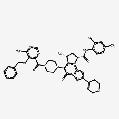 Cc1ncnc(C(=O)N2CCN(c3c4n(c5nc(C6=CCOCC6)nn5c3=O)[C@@H](C(=O)Nc3ccc(C(F)(F)F)cc3Cl)C[C@H]4C)CC2)c1OCc1ccccc1